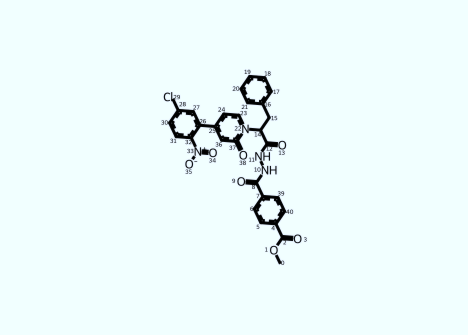 COC(=O)c1ccc(C(=O)NNC(=O)C(Cc2ccccc2)n2ccc(-c3cc(Cl)ccc3[N+](=O)[O-])cc2=O)cc1